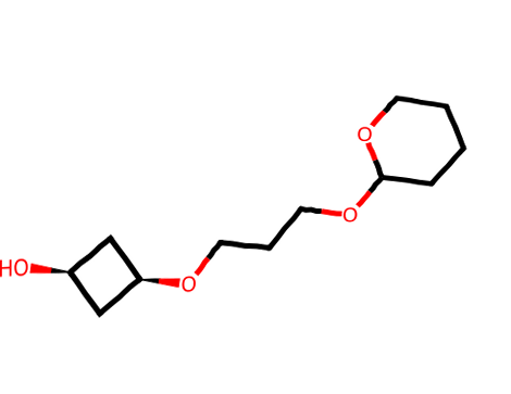 O[C@H]1C[C@@H](OCCCOC2CCCCO2)C1